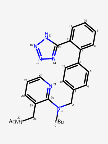 CCCCN(Cc1ccc(-c2ccccc2-c2nnn[nH]2)cc1)c1ncccc1CNC(C)=O